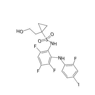 O=S(=O)(Nc1c(F)cc(F)c(F)c1Nc1ccc(I)cc1F)C1(CCO)CC1